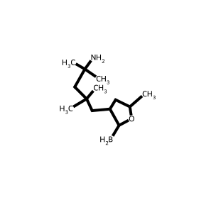 BC1OC(C)CC1CC(C)(C)CC(C)(C)N